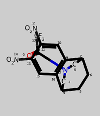 O=C(N1CC2CCC(C1)c1cc([N+](=O)[O-])c([N+](=O)[O-])cc12)C(F)(F)F